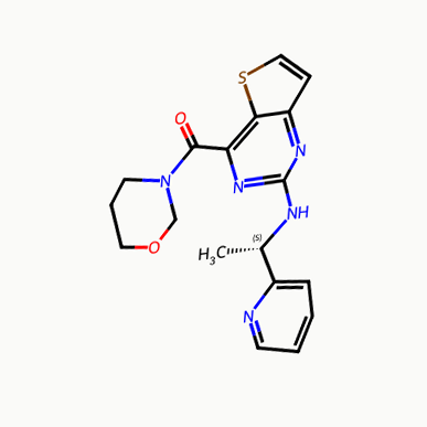 C[C@H](Nc1nc(C(=O)N2CCCOC2)c2sccc2n1)c1ccccn1